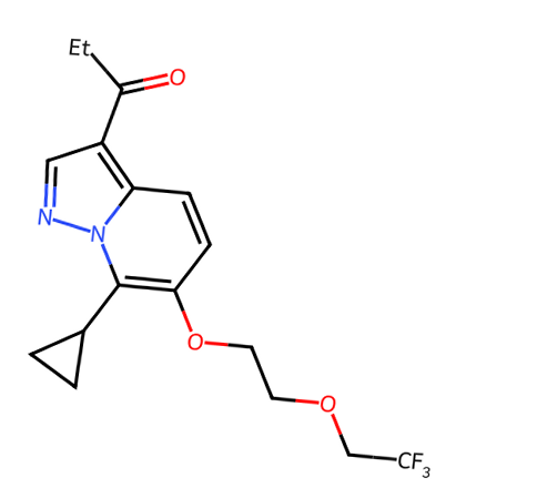 CCC(=O)c1cnn2c(C3CC3)c(OCCOCC(F)(F)F)ccc12